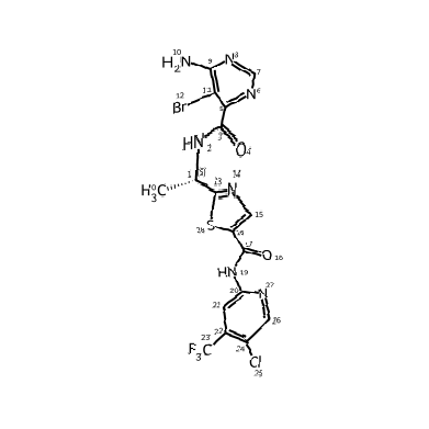 C[C@H](NC(=O)c1ncnc(N)c1Br)c1ncc(C(=O)Nc2cc(C(F)(F)F)c(Cl)cn2)s1